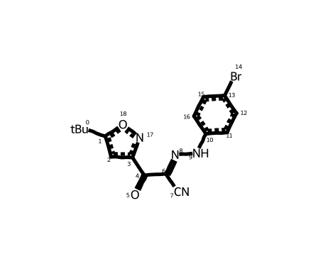 CC(C)(C)c1cc(C(=O)/C(C#N)=N/Nc2ccc(Br)cc2)no1